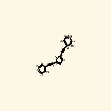 C(#Cc1ccc(C#Cc2ccncc2)s1)c1ccncc1